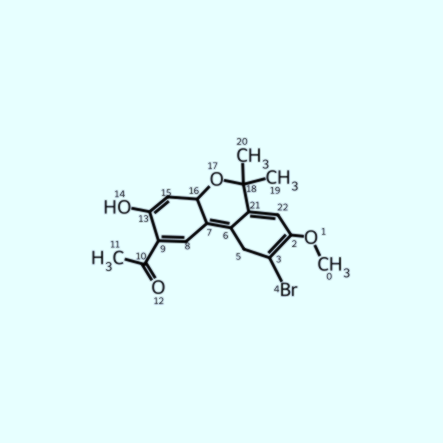 COC1=C(Br)CC2=C3C=C(C(C)=O)C(O)=CC3OC(C)(C)C2=C1